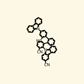 N#Cc1ccc2c(c1)c1ccccc1n2-c1c(C#N)cccc1-c1ccccc1-c1ccc(-n2c3ccccc3c3ccccc32)cc1C#N